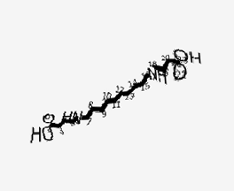 O=C(O)CCCNCCCCCCCCCCNCCCC(=O)O